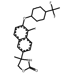 CC1(c2ccc3c(I)c(OC4CCC(C(C)(F)F)CC4)ccc3c2)COC(=O)N1